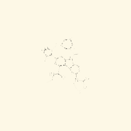 CCNC(=O)c1cc(-c2c(C)noc2C)cc2c1c1cc(N3CCCOC3=O)ccc1n2C(C)c1ccccc1